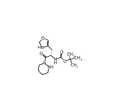 CC(C)(C)OC(=O)N[C@@H](CC1=COCN1)C(=O)N1CCCCN1